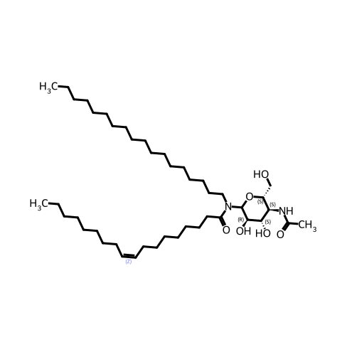 CCCCCCCC/C=C\CCCCCCCC(=O)N(CCCCCCCCCCCCCCCCCC)C1O[C@H](CO)[C@@H](NC(C)=O)[C@H](O)[C@H]1O